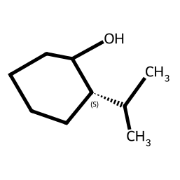 CC(C)[C@@H]1CCCCC1O